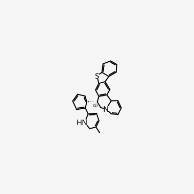 CC1=CC=C(c2ccccc2[C@H]2CN3C=CC=CC3c3cc4c(cc32)sc2ccccc24)NC1